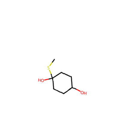 CSC1(O)CCC(O)CC1